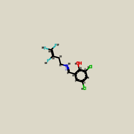 Oc1c(Cl)cc(Cl)cc1/C=N/CCC(F)=C(F)F